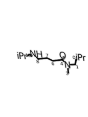 CC(C)CN(C)C(=O)CCCNC(C)C